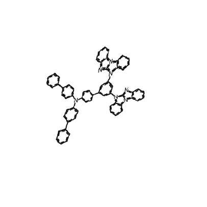 c1ccc(-c2ccc(N(c3ccc(-c4ccccc4)cc3)c3ccc(-c4cc(-n5c6ccccc6n6c7ccccc7nc56)cc(-n5c6ccccc6n6c7ccccc7nc56)c4)cc3)cc2)cc1